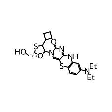 CCN(CC)c1ccc2c(c1)Nc1nc(=O)n(C3O[C@H](CO)SC3C3CCC3)cc1S2